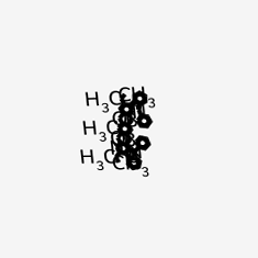 Cc1c2c(cc3c1Oc1nc(C(C)C)c4c5ccccc5n5c4c1B3c1ccccc1-5)B1c3ccccc3-n3c4ccccc4c4c(C(C)C)cc(c1c43)O2